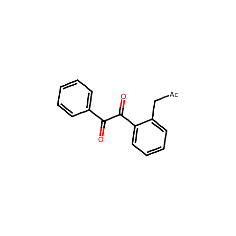 CC(=O)Cc1ccccc1C(=O)C(=O)c1ccccc1